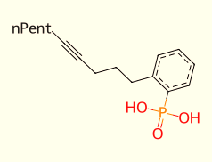 CCCCCC#CCCCc1ccccc1P(=O)(O)O